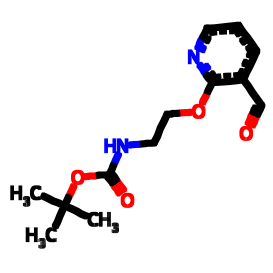 CC(C)(C)OC(=O)NCCOc1ncccc1C=O